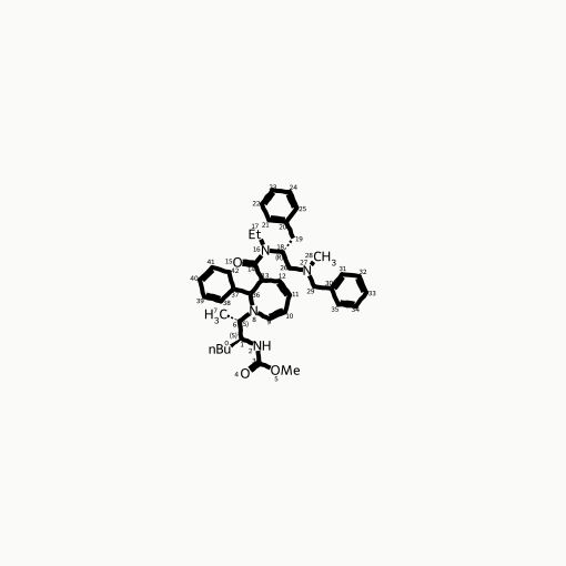 CCCC[C@H](NC(=O)OC)[C@H](C)N1C=CC=CC(C(=O)N(CC)[C@H](Cc2ccccc2)CN(C)Cc2ccccc2)C1C1C=CC=CC1